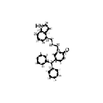 O=c1ccc(C(c2ccccc2)c2ccccc2)cn1CCCc1cccc2[nH]ccc12